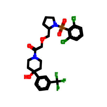 O=C(COCC1CCCN1S(=O)(=O)c1c(Cl)cccc1Cl)N1CCC(O)(c2cccc(C(F)(F)F)c2)CC1